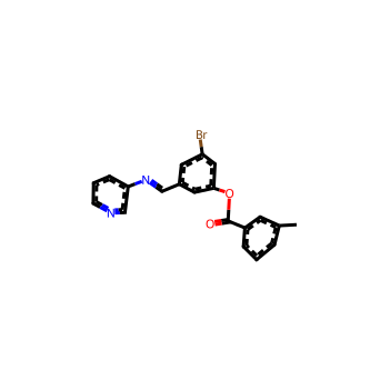 Cc1cccc(C(=O)Oc2cc(Br)cc(C=Nc3cccnc3)c2)c1